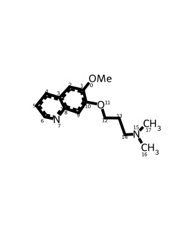 COc1cc2cccnc2cc1OCCCN(C)C